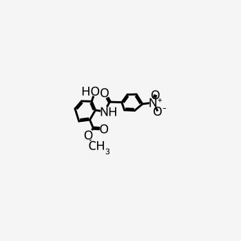 COC(=O)c1cccc(O)c1NC(=O)c1ccc([N+](=O)[O-])cc1